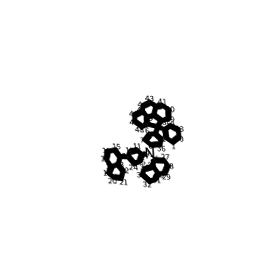 c1ccc(C2(c3ccc(N(c4ccc(-c5cccc6ccccc56)cc4)c4cccc5ccccc45)cc3)c3cccc4ccc5cccc2c5c34)cc1